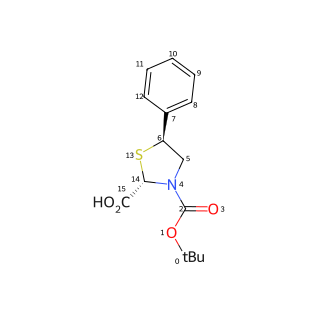 CC(C)(C)OC(=O)N1C[C@H](c2ccccc2)S[C@H]1C(=O)O